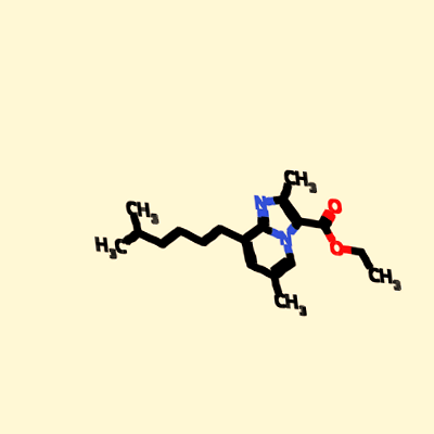 CCOC(=O)c1c(C)nc2c(CCCCC(C)C)cc(C)cn12